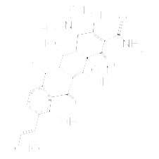 CC1c2ccc(C=CC=O)c(O)c2C(=O)C2=C(O)C3(O)C(=O)C(C(N)=O)=C(O)[C@@H](N(C)C)C3C(O)C21